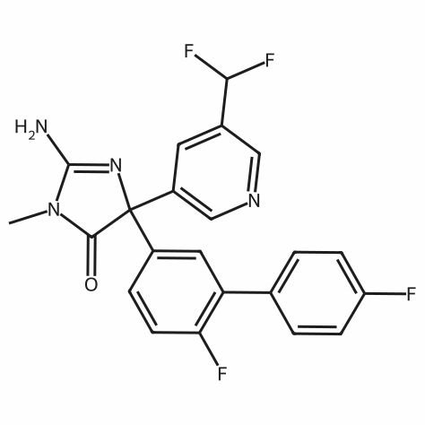 CN1C(=O)C(c2cncc(C(F)F)c2)(c2ccc(F)c(-c3ccc(F)cc3)c2)N=C1N